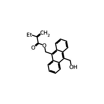 C=C(CC)C(=O)OCc1c2ccccc2c(CO)c2ccccc12